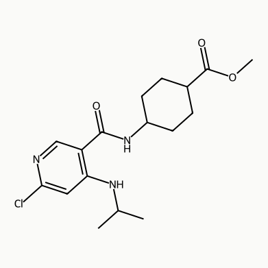 COC(=O)C1CCC(NC(=O)c2cnc(Cl)cc2NC(C)C)CC1